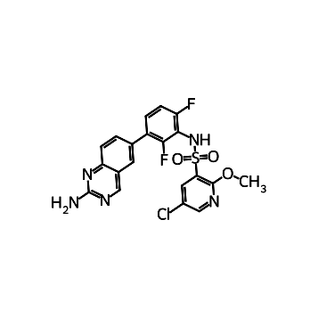 COc1ncc(Cl)cc1S(=O)(=O)Nc1c(F)ccc(-c2ccc3nc(N)ncc3c2)c1F